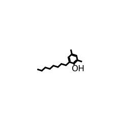 CCCCCCCCc1cc(C)cc(C)c1O